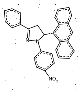 O=[N+]([O-])c1ccc(N2N=C(c3ccccc3)CC2c2c3ccccc3cc3ccccc23)cc1